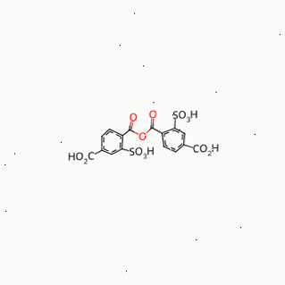 O=C(O)c1ccc(C(=O)OC(=O)c2ccc(C(=O)O)cc2S(=O)(=O)O)c(S(=O)(=O)O)c1